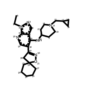 CCn1ncc2c(NC3CCN(CC4CC4)CC3)c(C3=NOC4(CCCCC4)C3)cnc21